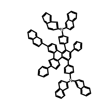 c1ccc(-c2ccc3c(c2)c2cc(-c4ccc5ccccc5c4)ccc2c2c(-c4ccc(N(c5ccc6ccccc6c5)c5ccc6ccccc6c5)cc4)c(-c4ccccc4)cc(-c4ccc(N(c5ccc6ccccc6c5)c5ccc6ccccc6c5)cc4)c32)cc1